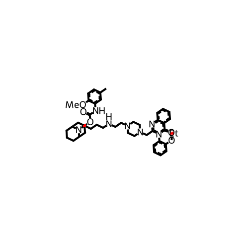 CCOc1ccccc1-n1c(CN2CCN(CCNCCCCN3C4CCCC3CC(OC(=O)Nc3cc(C)ccc3OC)C4)CC2)nc2ccccc2c1=O